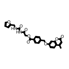 Cc1cc(=O)oc2cc(OCc3ccc(C(=O)OCC(=O)NC(=O)NCc4ccco4)cc3)ccc12